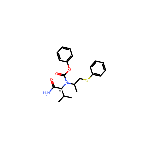 CC(C)[C@@H](C(N)=O)N(C(=O)Oc1ccccc1)C(C)CSc1ccccc1